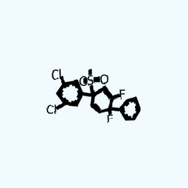 CS(=O)(=O)C1(c2cc(Cl)cc(Cl)c2)C=CC(F)(c2ccccc2)C(F)=C1